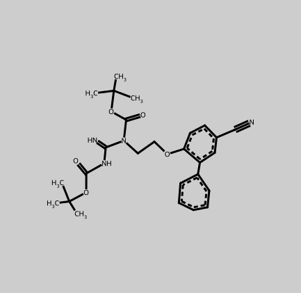 CC(C)(C)OC(=O)NC(=N)N(CCOc1ccc(C#N)cc1-c1ccccc1)C(=O)OC(C)(C)C